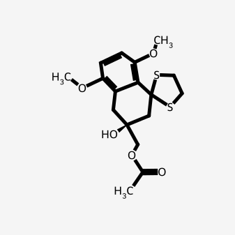 COc1ccc(OC)c2c1C[C@@](O)(COC(C)=O)CC21SCCS1